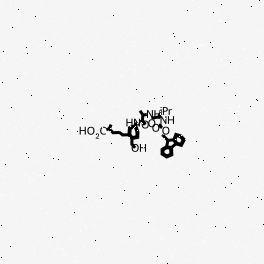 CC(CCCc1cc(NC(=O)C(C)NC(=O)C(NC(=O)OCC2c3ccccc3-c3ccccc32)C(C)C)ccc1CO)C(=O)O